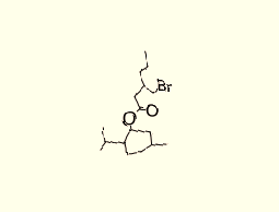 CCCC(CBr)CC(=O)OC1CC(C)CCC1C(C)C